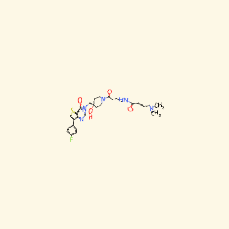 CN(C)CC=CC(=O)NCCCC(=O)N1CCC(O)(Cn2cnc3c(-c4ccc(F)cc4)csc3c2=O)CC1